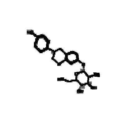 OCC1O[C@H](Oc2ccc3c(c2)OC[C@@H](c2ccc(O)cc2)C3)C(O)[C@@H](O)[C@@H]1O